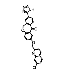 O=C1c2ccc(-c3nnn[nH]3)cc2COc2ccc(OCc3ccc4ccc(Cl)cc4n3)cc21